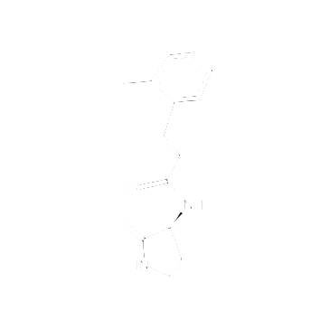 Cc1ccccc1[CH]CC(=O)N[C@H]1CCNC1=O